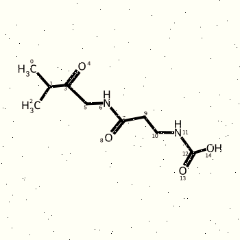 CC(C)C(=O)CNC(=O)CCNC(=O)O